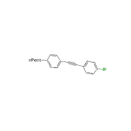 CCCCCc1ccc(C#Cc2ccc(Br)cc2)cc1